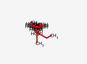 CCCCCCCC/C=C\CCCCCCCCCCCCCC(=O)N[C@@H](CO[C@@H]1OC(CO)[C@@H](O[C@@H]2OC(CO[C@@H]3OC(CO)[C@@H](O[C@@H]4OC(CO)[C@H](O)[C@H](O)C4O)[C@H](O)C3NC(C)=O)[C@H](O)[C@H](O[C@H]3OC(CO)[C@H](O)[C@H](O[C@@H]4OC(CO)[C@H](O)[C@H](O)C4NC(C)=O)C3O)C2O)[C@H](O)C1O)[C@H](O)/C=C/CCCCCCCCCCCCC